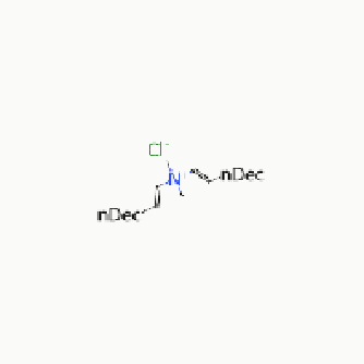 CCCCCCCCCCC=C[N+](C)(C)C=CCCCCCCCCCC.[Cl-]